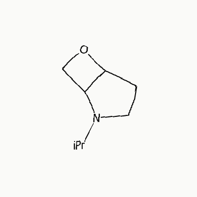 CC(C)N1CCC2OCC21